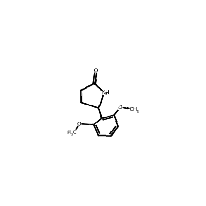 COc1cccc(OC)c1C1CCC(=O)N1